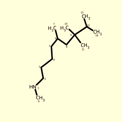 CNCCCCC(C)CC(C)(C)C(C)C